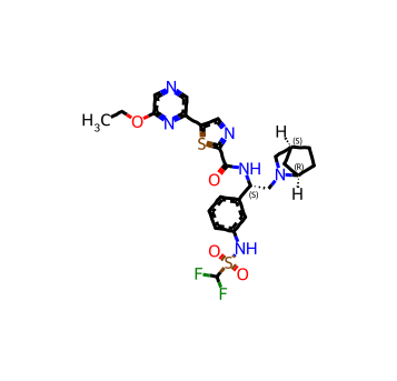 CCOc1cncc(-c2cnc(C(=O)N[C@H](CN3C[C@H]4CC[C@@H]3C4)c3cccc(NS(=O)(=O)C(F)F)c3)s2)n1